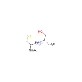 CC(=O)NC(CS)C(=O)O.N[C@H](CO)C(=O)O